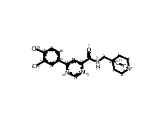 O=C(NCC12CCN(CC1)CC2)c1cc(-c2ccc(Cl)c(Cl)c2)ncn1